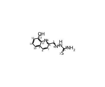 NC(=S)NN=Cc1ccc2cccc(O)c2n1